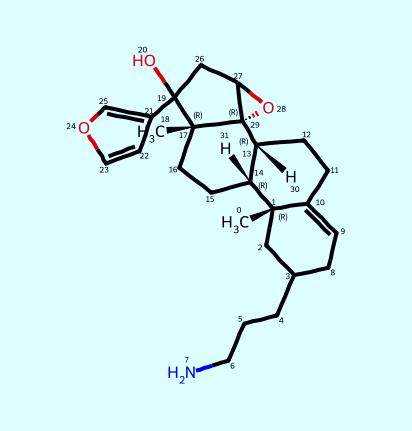 C[C@]12CC(CCCN)CC=C1CC[C@@H]1[C@H]2CC[C@]2(C)C(O)(c3ccoc3)CC3O[C@]312